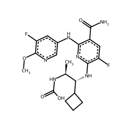 COc1ncc(Nc2nc(N[C@H](C3CCC3)[C@H](C)NC(=O)O)c(F)cc2C(N)=O)cc1F